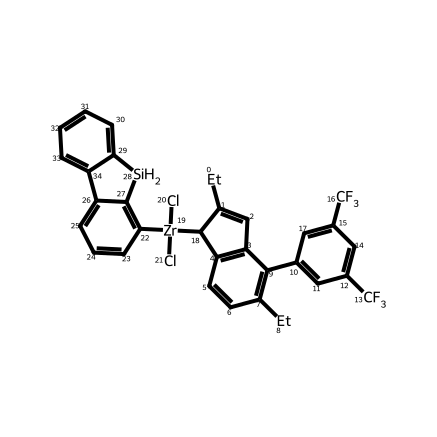 CCC1=Cc2c(ccc(CC)c2-c2cc(C(F)(F)F)cc(C(F)(F)F)c2)[CH]1[Zr]([Cl])([Cl])[c]1cccc2c1[SiH2]c1ccccc1-2